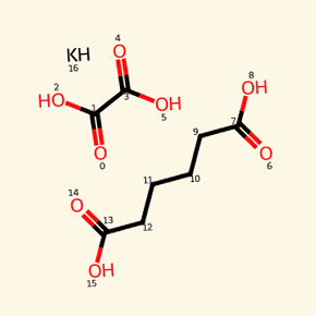 O=C(O)C(=O)O.O=C(O)CCCCC(=O)O.[KH]